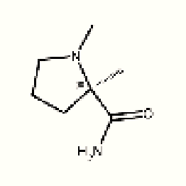 CN1CCC[C@]1(C)C(N)=O